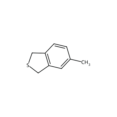 Cc1ccc2c(c1)CSC2